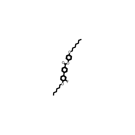 CCCCCCCOc1ccc(OC(=O)c2ccc(-c3ccc(OCCCCCC)c(F)c3)cc2)cc1